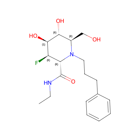 CCNC(=O)[C@@H]1[C@@H](F)[C@@H](O)[C@H](O)[C@@H](CO)N1CCCc1ccccc1